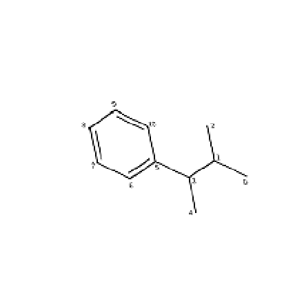 CC(C)C(C)c1c[c]ccc1